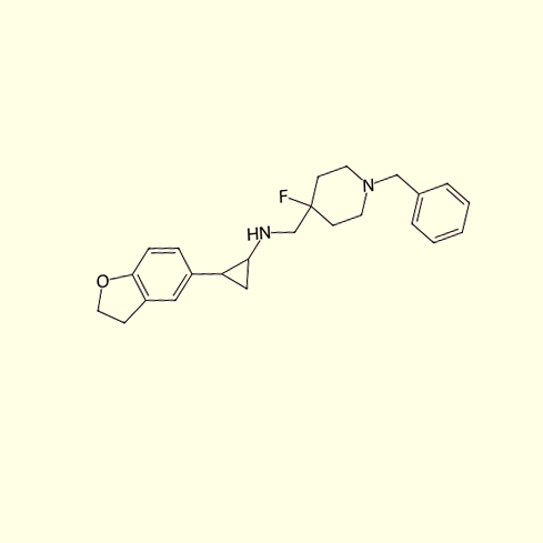 FC1(CNC2CC2c2ccc3c(c2)CCO3)CCN(Cc2ccccc2)CC1